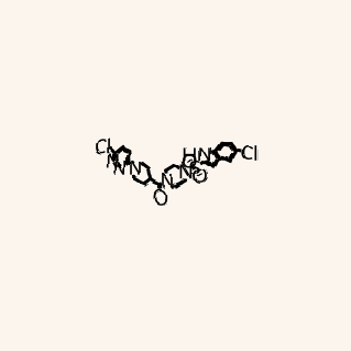 O=C(C1CCN(c2ccc(Cl)nn2)CC1)N1CCN(S(=O)(=O)c2cc3cc(Cl)ccc3[nH]2)CC1